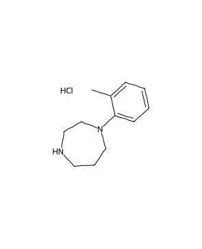 Cc1ccccc1N1CCCNCC1.Cl